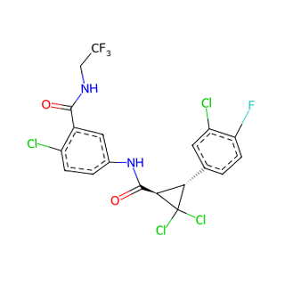 O=C(NCC(F)(F)F)c1cc(NC(=O)[C@H]2[C@H](c3ccc(F)c(Cl)c3)C2(Cl)Cl)ccc1Cl